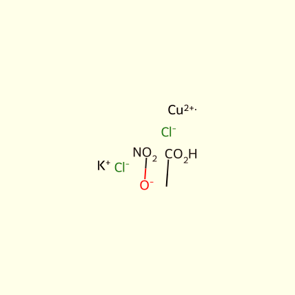 CC(=O)O.O=[N+]([O-])[O-].[Cl-].[Cl-].[Cu+2].[K+]